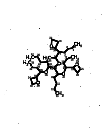 CCCCC(C(C)O[SiH](C(CCCC)OC(CCC)C1CCO1)C(CCCC)OC(CCC)C1CCO1)C1CCO1